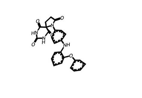 O=C1NC(=O)C2(CCC(=O)N2c2ccc(Nc3ccccc3Oc3ccccc3)cc2)C(=O)N1